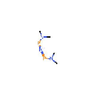 CN(C)P=[N+]=PN(C)C